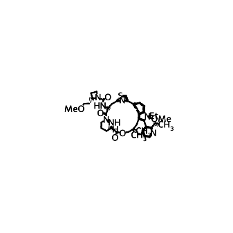 CCn1c(-c2cccnc2[C@H](C)OC)c2c3cc(ccc31)-c1csc(n1)C[C@H](NC(=O)N1CC[C@H]1CCOC)C(=O)N1CCC[C@H](N1)C(=O)OCC(C)(C)C2